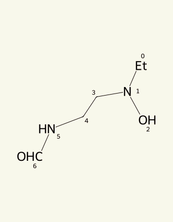 CCN(O)CCNC=O